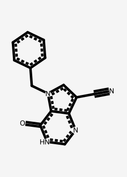 N#Cc1cn(Cc2ccccc2)c2c(=O)[nH]cnc12